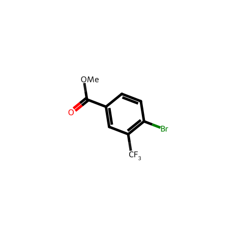 COC(=O)c1ccc(Br)c(C(F)(F)F)c1